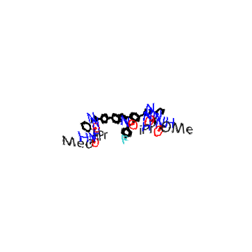 COC(=O)NC(C(=O)[C@@H]1CCCC[C@@H]1c1ncc(-c2ccc(-c3ccc4c(c3)cc3n4C(c4ccc(F)cc4)Oc4cc(-c5cnc([C@@H]6CCCN6C(=O)C(NC(=O)OC)C(C)C)[nH]5)ccc4-3)cc2)[nH]1)C(C)C